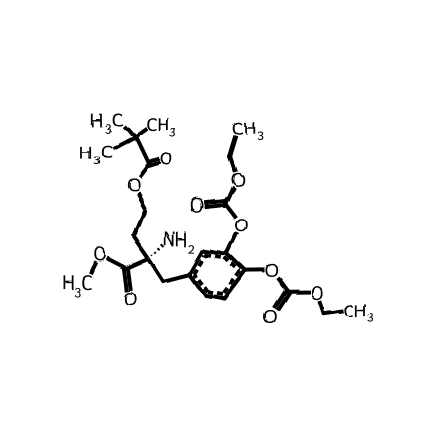 CCOC(=O)Oc1ccc(C[C@](N)(CCOC(=O)C(C)(C)C)C(=O)OC)cc1OC(=O)OCC